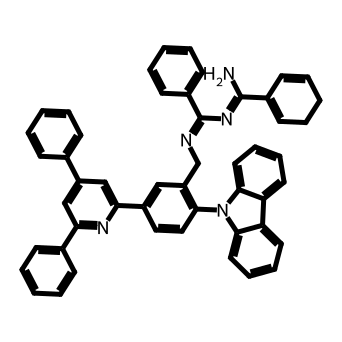 N/C(=N\C(=N/Cc1cc(-c2cc(-c3ccccc3)cc(-c3ccccc3)n2)ccc1-n1c2ccccc2c2ccccc21)c1ccccc1)C1=CCCC=C1